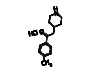 Cc1ccc(C(=O)CC2CCNCC2)cc1.Cl